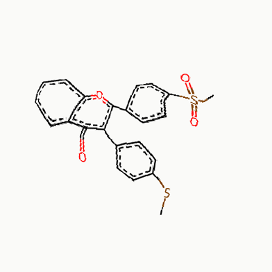 CSc1ccc(-c2c(-c3ccc(S(C)(=O)=O)cc3)oc3ccccc3c2=O)cc1